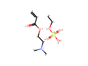 C=CC(=O)OCCN(C)C.CCOS(=O)(=O)O